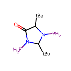 CC(C)(C)C1C(=O)N(P)C(C(C)(C)C)N1P